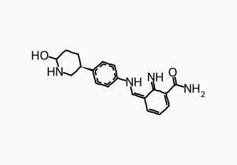 N=C1C(C(N)=O)=CC=C/C1=C/Nc1ccc([C@@H]2CCC(O)NC2)cc1